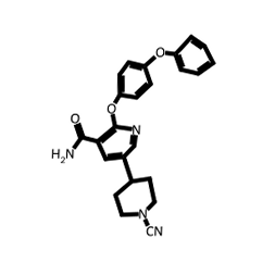 N#CN1CCC(c2cnc(Oc3ccc(Oc4ccccc4)cc3)c(C(N)=O)c2)CC1